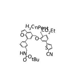 CCCCCC.CCOC(=O)Cc1ccc(-c2ccc(C#N)s2)cc1OCc1cc(-c2cccc(CNC(=O)OC(C)(C)C)c2)c2occc2c1